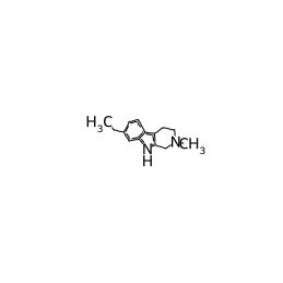 CCc1ccc2c3c([nH]c2c1)CN(C)CC3